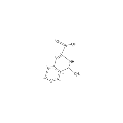 CC1NC(C(=O)O)=Cc2ccccc21